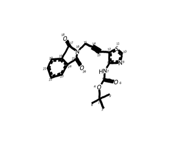 CC(C)(C)OC(=O)Nc1ncsc1C#CCN1C(=O)c2ccccc2C1=O